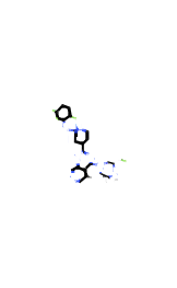 COc1cncc2nc(-c3ccnc(Nc4c(F)ccc(F)c4F)c3)nc(N3CCN[C@@H](CF)C3)c12